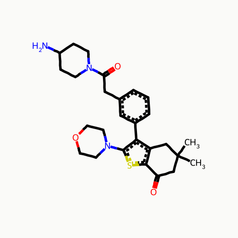 CC1(C)CC(=O)c2sc(N3CCOCC3)c(-c3cccc(CC(=O)N4CCC(N)CC4)c3)c2C1